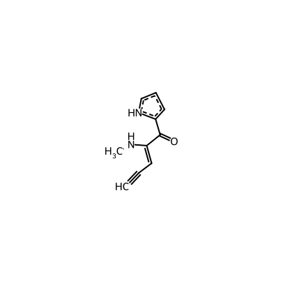 C#C/C=C(\NC)C(=O)c1ccc[nH]1